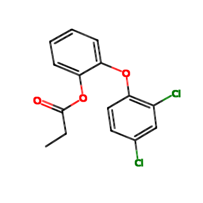 CCC(=O)Oc1ccccc1Oc1ccc(Cl)cc1Cl